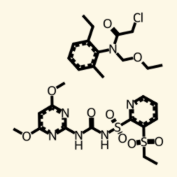 CCOCN(C(=O)CCl)c1c(C)cccc1CC.CCS(=O)(=O)c1cccnc1S(=O)(=O)NC(=O)Nc1nc(OC)cc(OC)n1